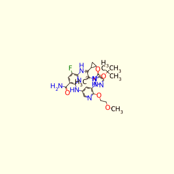 COCCOc1ncc(Nc2nc(N[C@H](C3CC3)[C@H](C)NC(=O)OC(C)(C)C)c(F)cc2C(N)=O)cc1-n1nccn1